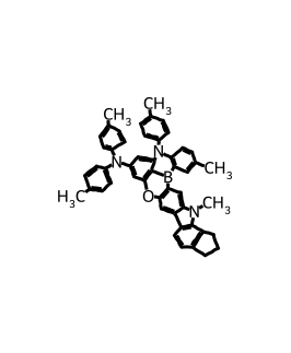 Cc1ccc(N(c2ccc(C)cc2)c2cc3c4c(c2)N(c2ccc(C)cc2)c2ccc(C)cc2B4c2cc4c(cc2O3)c2ccc3c(c2n4C)CCC3)cc1